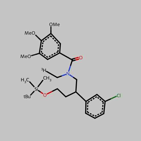 [3H]CN(CC(CCO[Si](C)(C)C(C)(C)C)c1cccc(Cl)c1)C(=O)c1cc(OC)c(OC)c(OC)c1